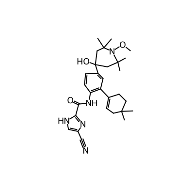 CON1C(C)(C)CC(O)(c2ccc(NC(=O)c3nc(C#N)c[nH]3)c(C3=CCC(C)(C)CC3)c2)CC1(C)C